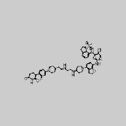 CS(=O)(=O)N1CCc2cccc(Nc3nc(Nc4ccc(N5CCC(NCCNCCC6CCN(c7ccc(C8CCC(=O)NC8=O)c(F)c7)CC6)CC5)c5c4OCC5)ncc3Cl)c21